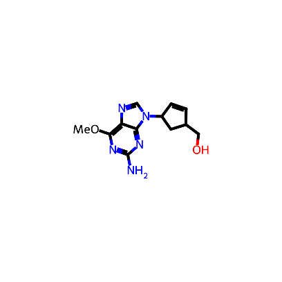 COc1nc(N)nc2c1ncn2C1C=CC(CO)C1